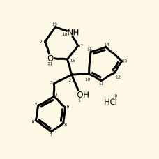 Cl.OC(Cc1ccccc1)(c1ccccc1)C1CNCCO1